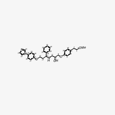 COCCc1ccc(OCC(O)CNC(CCOc2ccc(-n3ccnc3)cc2)c2ccccc2)cc1